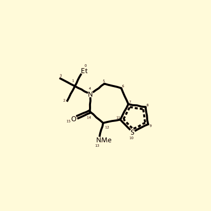 CCC(C)(C)N1CCc2ccsc2C(NC)C1=O